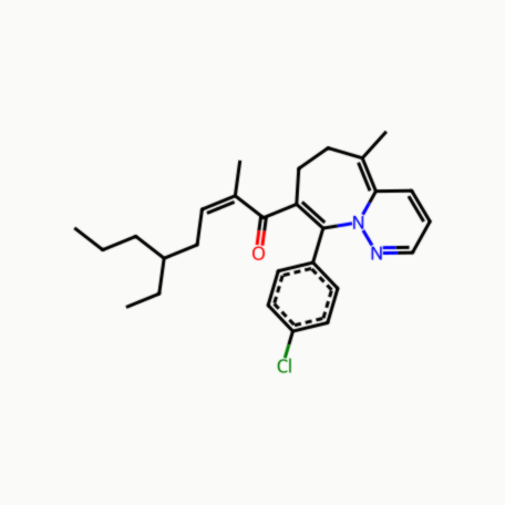 CCCC(CC)C/C=C(/C)C(=O)C1=C(c2ccc(Cl)cc2)N2N=CC=CC2=C(C)CC1